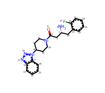 N[C@@H](CC(=O)N1CCC(n2nnc3ccccc32)CC1)Cc1ccccc1F